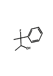 CC(O)C(C)(F)c1ccccc1